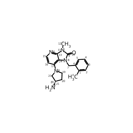 Cc1ccccc1Cn1c(=O)n(C)c2nccc(N3CC[C@@H](N)C3)c21